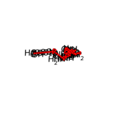 CC[C@H](C)[C@@H]([C@@H](CC(=O)N1CCC[C@H]1[C@H](OC)[C@@H](C)C(=O)N[C@H](C)[C@@H](O)c1ccccc1)OC)N(C)C(=O)[C@@H](NC(=O)[C@H](C(C)C)N(C)C(=O)OCc1ccc(NC(=O)[C@H](CCCNC(N)=O)NC(=O)[C@@H](NC(=O)[C@H](N)CCCCNC(=O)COC2CCCCCc3c2nnn3CCOCCOCCOCCOCCOCCP(=O)(O)O)C(C)C)cc1)C(C)C